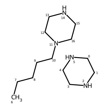 C1CNCCN1.CCCCCN1CCNCC1